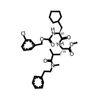 COC(=O)[C@H](CC(C)C(=O)N(C)CCc1ccccc1)NC(=O)[C@H](CC1CCCCC1)NC(=O)OCc1cccc(Cl)c1